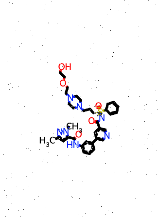 Cc1cc(C(=O)Nc2cccc(-c3cncc(C(=O)N=[S@](=O)(CCCN4CCN(CCOCCO)CC4)C4C=CC=CC4)c3)c2)n(C)n1